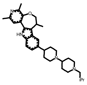 Cc1cc2c(c(C)n1)OCC(C)c1c-2[nH]c2ccc(C3CCN(C4CCN(CC(C)C)CC4)CC3)cc12